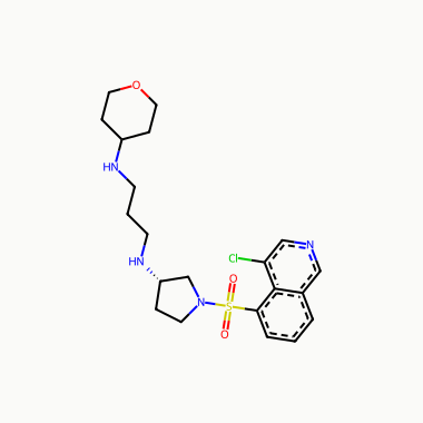 O=S(=O)(c1cccc2cncc(Cl)c12)N1CC[C@H](NCCCNC2CCOCC2)C1